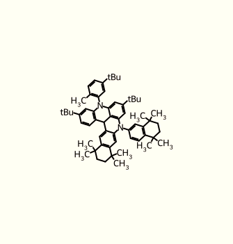 Cc1ccc(C(C)(C)C)cc1N1c2cc(C(C)(C)C)ccc2C2c3cc4c(cc3N(c3ccc5c(c3)C(C)(C)CCC5(C)C)c3cc(C(C)(C)C)cc1c32)C(C)(C)CCC4(C)C